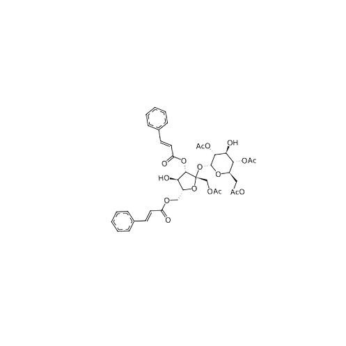 CC(=O)OC[C@H]1O[C@H](O[C@]2(COC(C)=O)O[C@H](COC(=O)/C=C/c3ccccc3)[C@@H](O)[C@@H]2OC(=O)/C=C/c2ccccc2)[C@H](OC(C)=O)[C@@H](O)[C@@H]1OC(C)=O